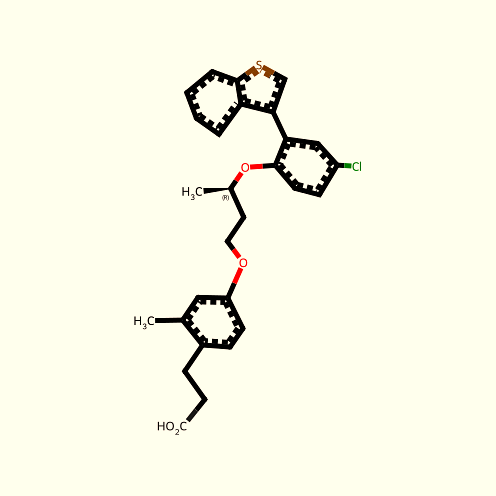 Cc1cc(OCC[C@@H](C)Oc2ccc(Cl)cc2-c2csc3ccccc23)ccc1CCC(=O)O